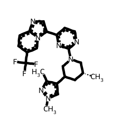 Cc1nn(C)cc1C1C[C@@H](C)CN(c2nccc(-c3cnc4ccc(C(F)(F)F)cn34)n2)C1